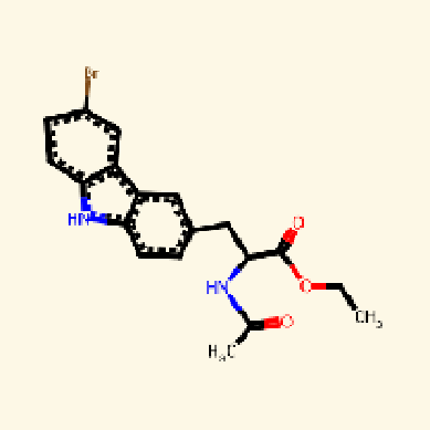 CCOC(=O)C(Cc1ccc2[nH]c3ccc(Br)cc3c2c1)NC(C)=O